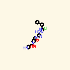 O=C(CC1(O)CCNCC1)N1CCC2(CC1)CCN(c1cncc(Nc3ncc(Cl)c(-c4cccc(-c5ccccc5)c4)n3)c1)C2=O